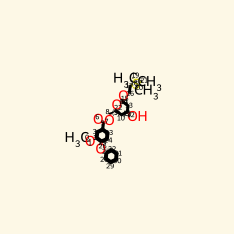 COc1cc(C(=O)OC[C@@H]2C[C@H](O)C[C@H](OCCS(C)(C)C)O2)ccc1Oc1ccccc1